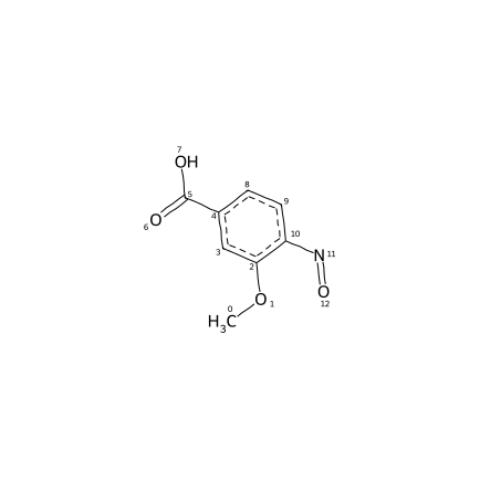 COc1cc(C(=O)O)ccc1N=O